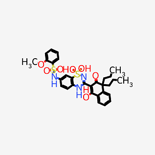 CCCC1(CCC)C(=O)C(C2=NS(O)(O)c3cc(NS(=O)(=O)c4ccccc4OC)ccc3N2)=C(O)c2ccccc21